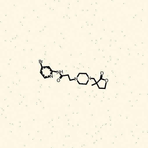 CC1(CN2CCN(CCC(=O)Nc3cc(Br)ccn3)CC2)CCOC1=O